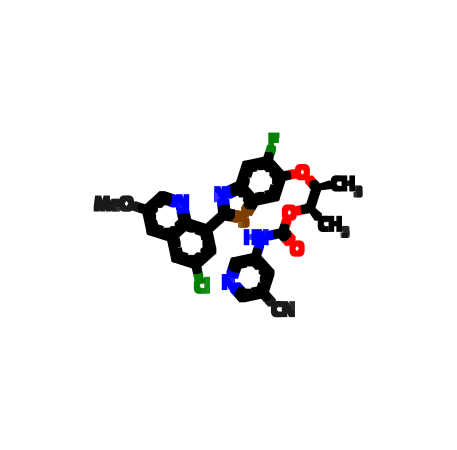 COc1cnc2c(-c3nc4cc(F)c(O[C@@H](C)[C@@H](C)OC(=O)Nc5cncc(C#N)c5)cc4s3)cc(Cl)cc2c1